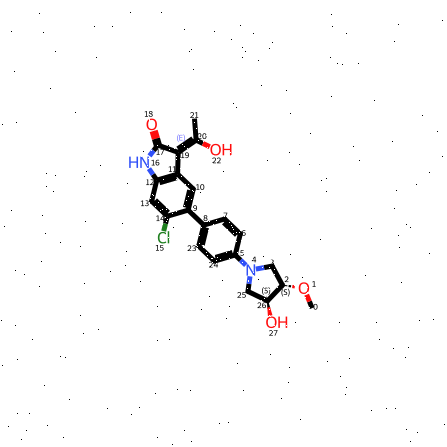 CO[C@H]1CN(c2ccc(-c3cc4c(cc3Cl)NC(=O)/C4=C(\C)O)cc2)C[C@@H]1O